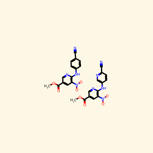 COC(=O)c1cnc(Nc2ccc(C#N)cc2)c([N+](=O)[O-])c1.COC(=O)c1cnc(Nc2ccc(C#N)nc2)c([N+](=O)[O-])c1